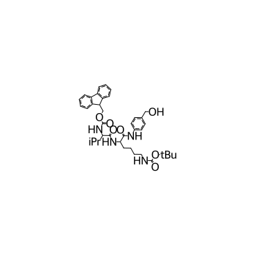 CC(C)C(NC(=O)OCC1c2ccccc2-c2ccccc21)C(=O)NC(CCCCNC(=O)OC(C)(C)C)C(=O)Nc1ccc(CO)cc1